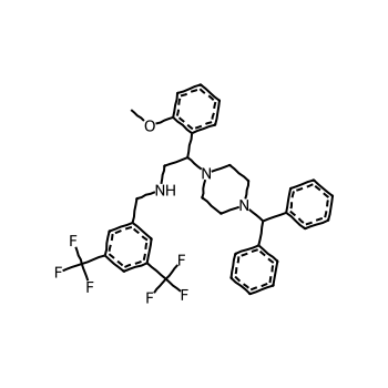 COc1ccccc1C(CNCc1cc(C(F)(F)F)cc(C(F)(F)F)c1)N1CCN(C(c2ccccc2)c2ccccc2)CC1